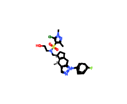 Cc1nn(C)c(Cl)c1S(=O)(=O)N(CCO)C[C@H]1CCC2=C1[C@@H](C)c1cnn(-c3ccc(F)cc3)c1C2